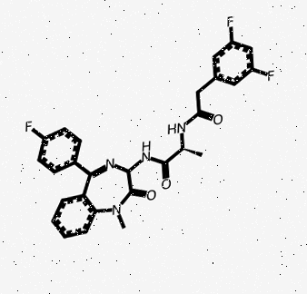 C[C@H](NC(=O)Cc1cc(F)cc(F)c1)C(=O)NC1N=C(c2ccc(F)cc2)c2ccccc2N(C)C1=O